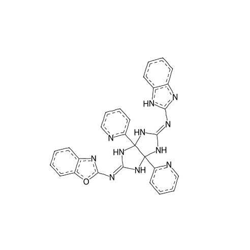 c1ccc(C23NC(=Nc4nc5ccccc5[nH]4)NC2(c2ccccn2)NC(=Nc2nc4ccccc4o2)N3)nc1